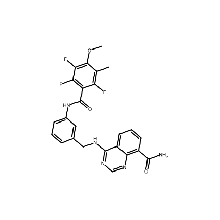 COc1c(C)c(F)c(C(=O)Nc2cccc(CNc3ncnc4c(C(N)=O)cccc34)c2)c(F)c1F